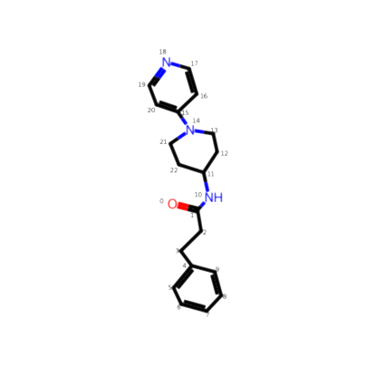 O=C(CCc1ccccc1)NC1CCN(c2ccncc2)CC1